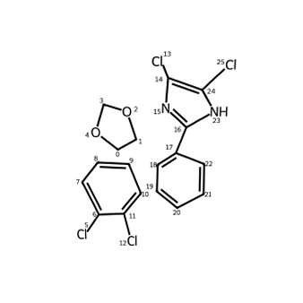 C1COCO1.Clc1ccccc1Cl.Clc1nc(-c2ccccc2)[nH]c1Cl